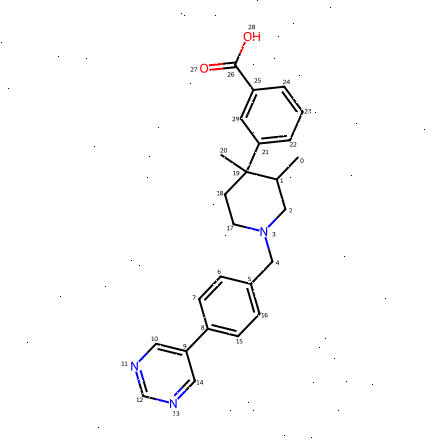 CC1CN(Cc2ccc(-c3cncnc3)cc2)CCC1(C)c1cccc(C(=O)O)c1